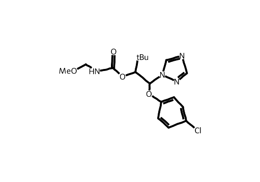 COCNC(=O)OC(C(Oc1ccc(Cl)cc1)n1cncn1)C(C)(C)C